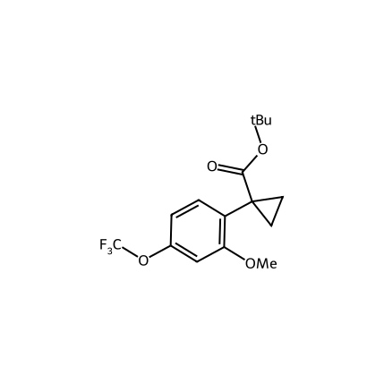 COc1cc(OC(F)(F)F)ccc1C1(C(=O)OC(C)(C)C)CC1